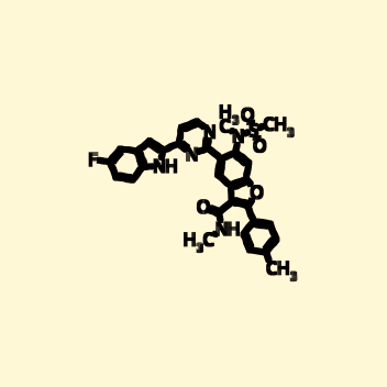 CNC(=O)c1c(-c2ccc(C)cc2)oc2cc(N(C)S(C)(=O)=O)c(-c3nccc(-c4cc5cc(F)ccc5[nH]4)n3)cc12